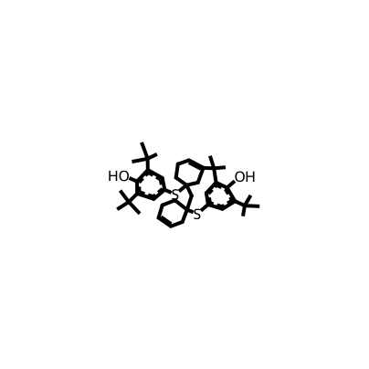 CC(C)(C)c1cc(SC2(CC3(Sc4cc(C(C)(C)C)c(O)c(C(C)(C)C)c4)CC=CCC3)CC=CCC2)cc(C(C)(C)C)c1O